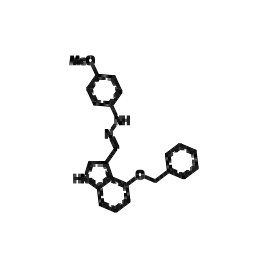 COc1ccc(NN=Cc2c[nH]c3cccc(OCc4ccccc4)c23)cc1